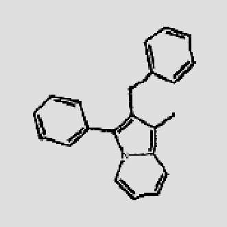 Cc1c(Cc2ccccc2)c(-c2ccccc2)n2ccccc12